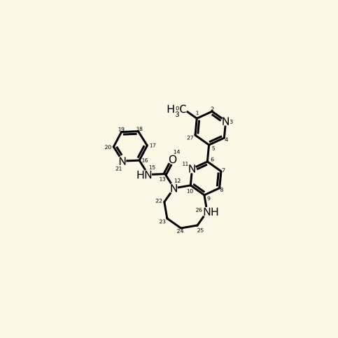 Cc1cncc(-c2ccc3c(n2)N(C(=O)Nc2ccccn2)CCCCN3)c1